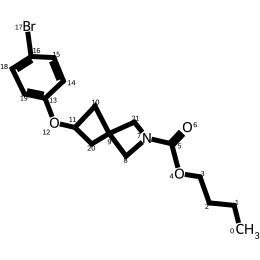 CCCCOC(=O)N1CC2(CC(Oc3ccc(Br)cc3)C2)C1